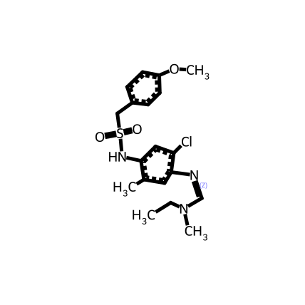 CCN(C)/C=N\c1cc(C)c(NS(=O)(=O)Cc2ccc(OC)cc2)cc1Cl